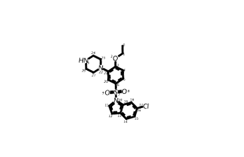 CCOc1ccc(S(=O)(=O)n2ccc3ccc(Cl)cc32)cc1N1CCNCC1